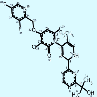 CC1=CNC(c2ccnc(C(C)(C)O)n2)C=C1n1c(C)cc(OCc2ncc(F)cc2F)c(Cl)c1=O